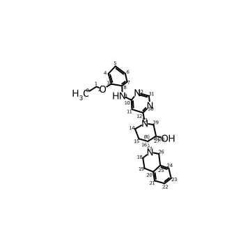 CCOc1ccccc1Nc1cc(N2CC[C@@H](N3CCc4ccccc4C3)[C@H](O)C2)ncn1